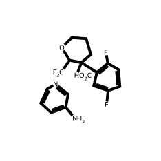 Nc1cccnc1.O=C(O)C1(c2cc(F)ccc2F)CCCOC1C(F)(F)F